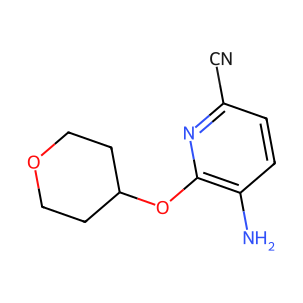 N#Cc1ccc(N)c(OC2CCOCC2)n1